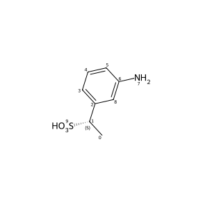 C[C@@H](c1cccc(N)c1)S(=O)(=O)O